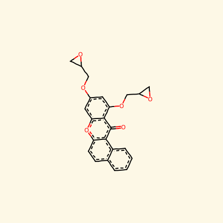 O=c1c2c(OCC3CO3)cc(OCC3CO3)cc2oc2ccc3ccccc3c12